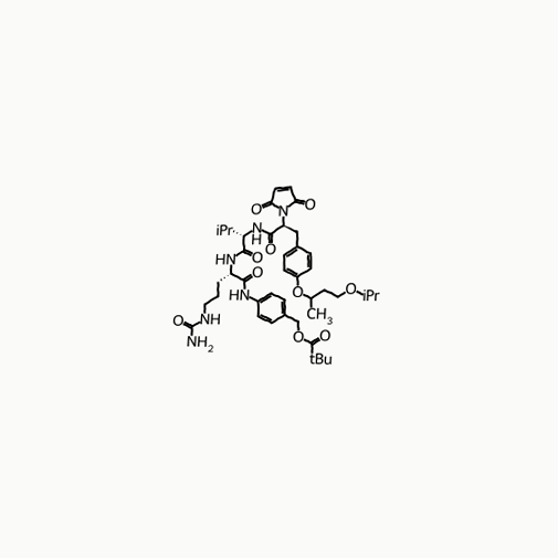 CC(C)OCCC(C)Oc1ccc(C[C@@H](C(=O)N[C@H](C(=O)N[C@@H](CCCNC(N)=O)C(=O)Nc2ccc(COC(=O)C(C)(C)C)cc2)C(C)C)N2C(=O)C=CC2=O)cc1